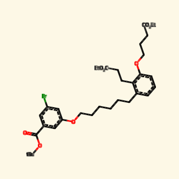 CCOC(=O)CCCOc1cccc(CCCCCCOc2cc(Br)cc(C(=O)OC(C)(C)C)c2)c1CCC(=O)OCC